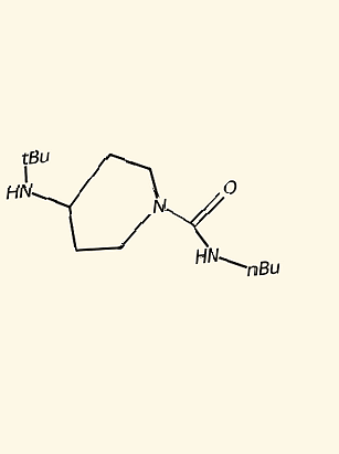 CCCCNC(=O)N1CCC(NC(C)(C)C)CC1